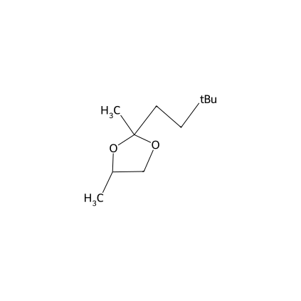 CC1COC(C)(CCC(C)(C)C)O1